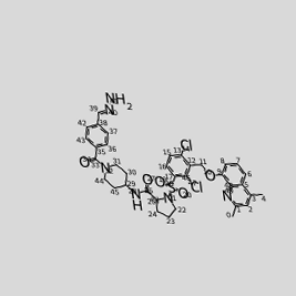 Cc1cc(C)c2cccc(OCc3c(Cl)ccc(S(=O)(=O)N4CCC[C@H]4C(=O)NC4CCN(C(=O)c5ccc(C=NN)cc5)CC4)c3Cl)c2n1